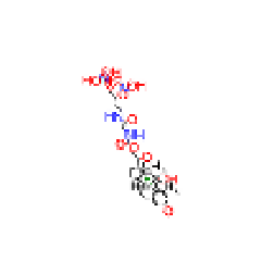 C[C@]12C[C@H](O)C3(F)[C@@H](CCC4=CC(=O)C=C[C@@]43C)C1CCC2C(=O)COC(=O)NCC(=O)NCCC(CON(O)O)ON(O)O